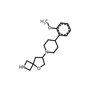 COc1ccccc1C1CCN(C2COC3(CNC3)C2)CC1